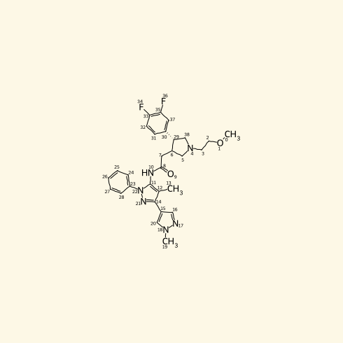 COCCN1CC(CC(=O)Nc2c(C)c(-c3cnn(C)c3)nn2-c2ccccc2)[C@H](c2ccc(F)c(F)c2)C1